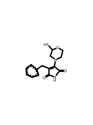 O=C1NC(=O)C(N2CCOC(S)C2)=C1Cc1ccccc1